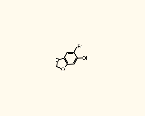 CC(C)c1cc2c(cc1O)OCO2